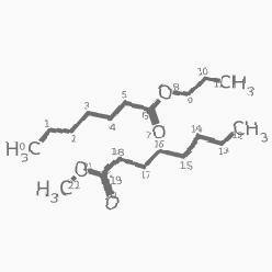 CCCCCCC(=O)OCCC.CCCCCCCC(=O)OC